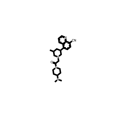 CC1CC(c2ccc(C#N)c3ncccc23)CN(CC(=O)N2CCC(N(C)C)CC2)C1